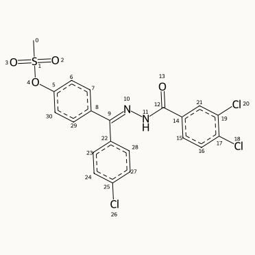 CS(=O)(=O)Oc1ccc(C(=NNC(=O)c2ccc(Cl)c(Cl)c2)c2ccc(Cl)cc2)cc1